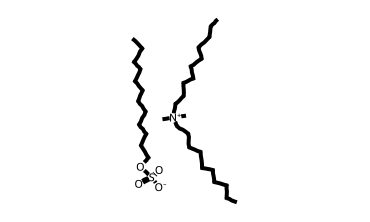 CCCCCCCCCCCCOS(=O)(=O)[O-].CCCCCCCCCC[N+](C)(C)CCCCCCCCCC